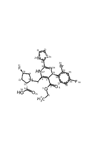 CCOC(=O)C1=C(CN2C[C@H](F)C[C@H]2C(=O)O)NC(c2nccs2)=N[C@H]1c1ccc(F)cc1Br